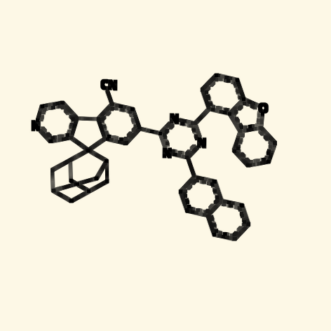 N#Cc1cc(-c2nc(-c3ccc4ccccc4c3)nc(-c3cccc4oc5ccccc5c34)n2)cc2c1-c1ccncc1C21C2CC3CC(C2)CC1C3